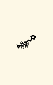 O=S(=O)(C1CC1)n1cc(CCC2CCCC2)nn1